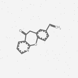 C=Cc1ccc2c(c1)CC(=O)c1cccnc1O2